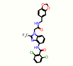 O=C(Cn1c(C(F)(F)F)nc2c(NC(=O)c3c(Cl)cccc3Cl)cccc21)NCc1ccc2c(c1)OCO2